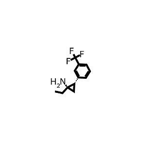 CC[C@@]1(N)C[C@H]1c1cccc(C(F)(F)F)c1